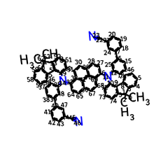 CC1(C)c2ccccc2-c2c(N(c3cccc(-c4cccc(C#N)c4)c3)c3ccc4ccc5c(N(c6cccc(-c7cccc(C#N)c7)c6)c6cccc7c6-c6ccccc6C7(C)C)ccc6ccc3c4c65)cccc21